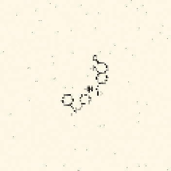 CN(Cc1ccc(NC(=O)c2ccc3c(c2)N(C)C(=O)CS3)cc1)c1ccccc1